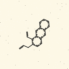 C=CCc1ccc2cc3ccccc3cc2c1C=C